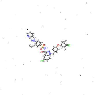 Cc1cc(Oc2ccc(Cn3nc(C(=O)NS(=O)(=O)c4ccc(NCc5cccnc5)c([N+](=O)[O-])c4)c4cc(Cl)ccc43)cc2)cc(C)c1Cl